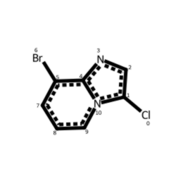 Clc1cnc2c(Br)cccn12